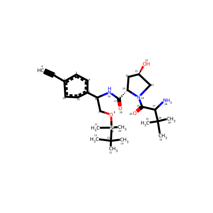 C#Cc1ccc(C(CO[Si](C)(C)C(C)(C)C)NC(=O)[C@@H]2C[C@@H](O)CN2C(=O)C(N)C(C)(C)C)cc1